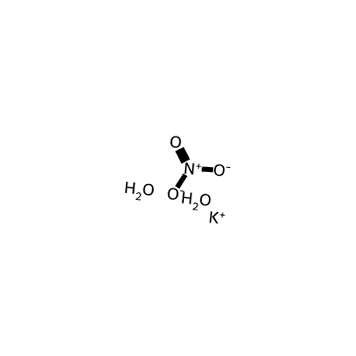 O.O.O=[N+]([O-])[O-].[K+]